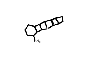 NC1CCCC2C1C1C2C2C3=C(C4CCC34)N21